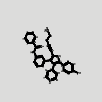 O=C(Nc1cccc(-c2c(C#CCCO)sc(-c3ccc(F)cc3)c2-c2ccncc2)c1)c1ccccc1